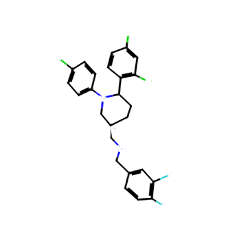 Fc1ccc(CNC[C@@H]2CCC(c3ccc(Cl)cc3Cl)N(c3ccc(Cl)cc3)C2)cc1F